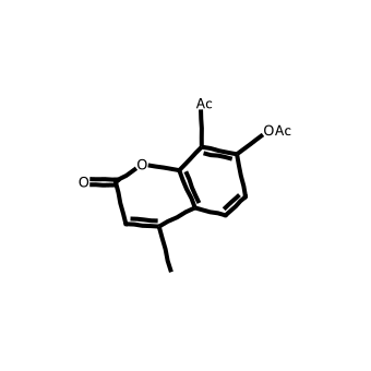 CC(=O)Oc1ccc2c(C)cc(=O)oc2c1C(C)=O